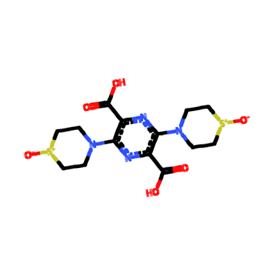 O=C(O)c1nc(N2CC[S+]([O-])CC2)c(C(=O)O)nc1N1CC[S+]([O-])CC1